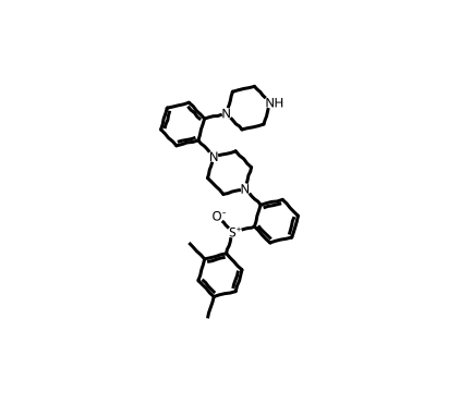 Cc1ccc([S+]([O-])c2ccccc2N2CCN(c3ccccc3N3CCNCC3)CC2)c(C)c1